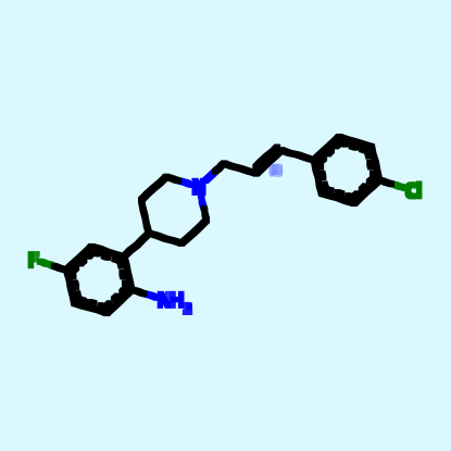 Nc1ccc(F)cc1C1CCN(C/C=C/c2ccc(Cl)cc2)CC1